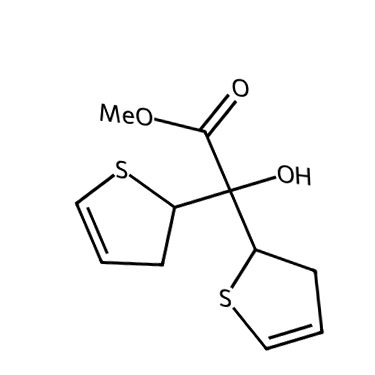 COC(=O)C(O)(C1CC=CS1)C1CC=CS1